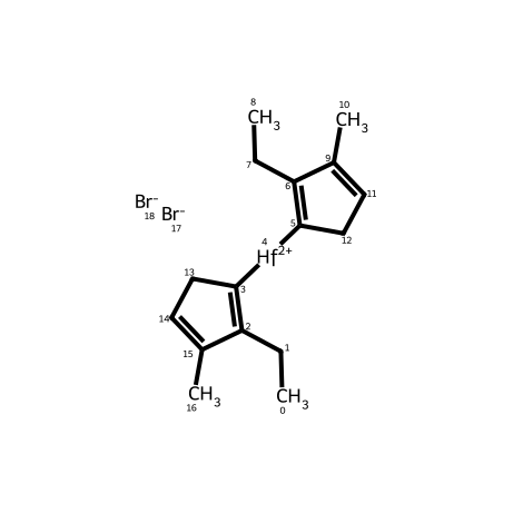 CCC1=[C]([Hf+2][C]2=C(CC)C(C)=CC2)CC=C1C.[Br-].[Br-]